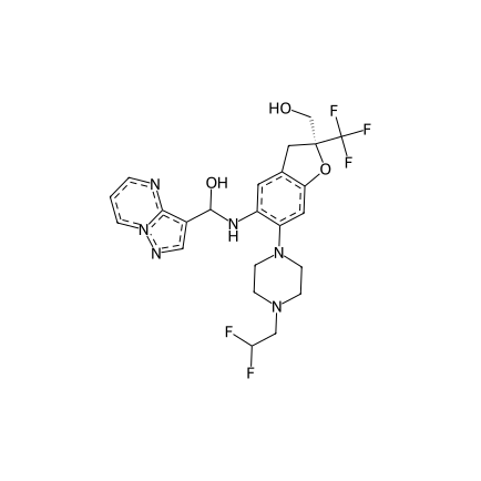 OC[C@@]1(C(F)(F)F)Cc2cc(NC(O)c3cnn4cccnc34)c(N3CCN(CC(F)F)CC3)cc2O1